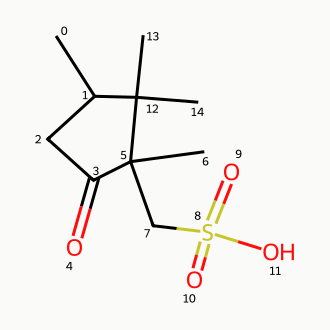 CC1CC(=O)C(C)(CS(=O)(=O)O)C1(C)C